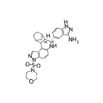 Nc1n[nH]c2ccc([C@@H]3Nc4ccc5c(cnn5S(=O)(=O)N5CCOCC5)c4C4C5CCC(C5)[C@H]43)cc12